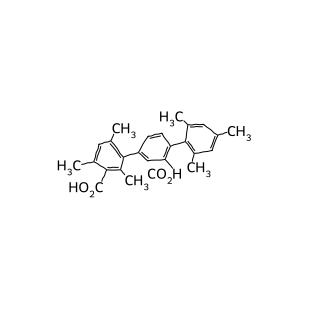 Cc1cc(C)c(-c2ccc(-c3c(C)cc(C)c(C(=O)O)c3C)cc2C(=O)O)c(C)c1